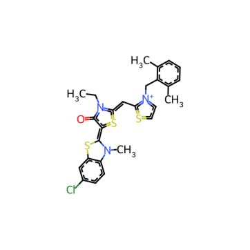 CCn1c(=O)/c(=C2\Sc3cc(Cl)ccc3N2C)s/c1=C\c1scc[n+]1Cc1c(C)cccc1C